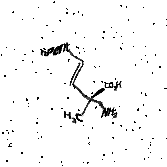 CCCCCC=C[C@@](C)(N)C(=O)O